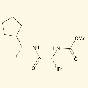 COC(=O)N[C@@H](C(=O)N[C@H](C)C1CCCC1)C(C)C